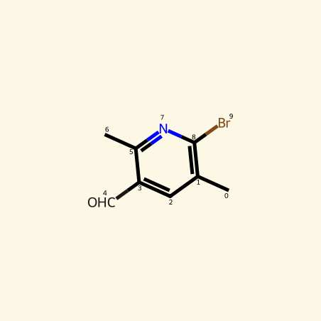 Cc1cc(C=O)c(C)nc1Br